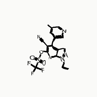 CCn1ncc2c(-c3cncc(C)c3)c(C#N)c(OS(=O)(=O)C(F)(F)F)nc21